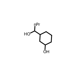 CCCC(O)C1CCCC(O)C1